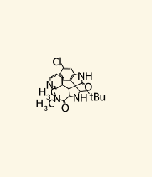 CN(C)C(=O)C1NC(CC(C)(C)C)C2(C(=O)Nc3cc(Cl)ccc32)C1c1cccnc1